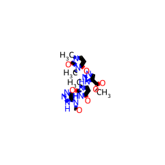 COC(=O)c1cnn[nH]1.Cn1ccc(=O)[nH]c1=O.Cn1ccc(=O)n(C)c1=O.O=CNc1cnn[nH]1